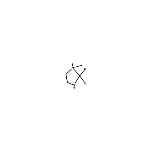 C[N+]1(C)CCNC1(F)F